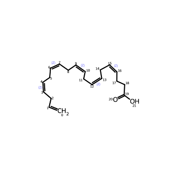 C=CC/C=C\C/C=C\C/C=C\C/C=C\C/C=C\CCC(=O)O